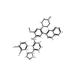 COc1cc(N2CCN(C)CC2)c(-c2cnc3ccccc3c2)cc1Nc1cc(N2OCC[C@@H]2c2cccc(F)c2F)ncn1